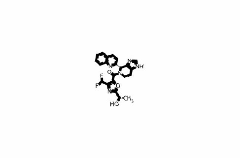 C[C@H](O)c1nc(C(F)F)c(C(=O)N2CCc3[nH]cnc3[C@H]2c2ccc3ccccc3n2)o1